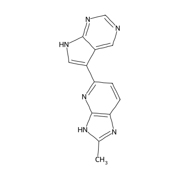 Cc1nc2ccc(-c3c[nH]c4ncncc34)nc2[nH]1